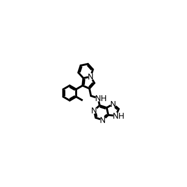 Cc1ccccc1-c1c(CNc2ncnc3[nH]cnc23)cn2ccccc12